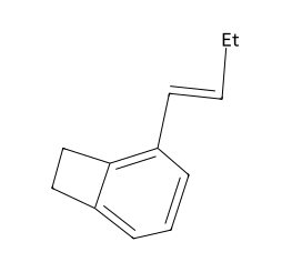 CCC=Cc1cccc2c1CC2